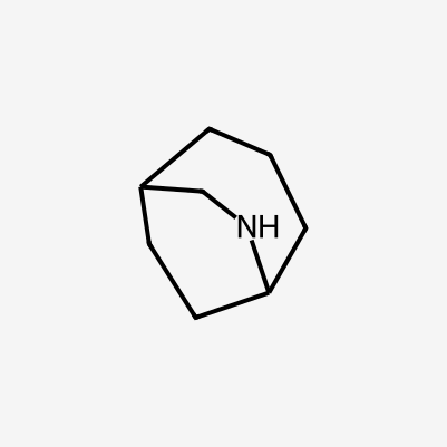 C1CC2CCC(C1)NC2